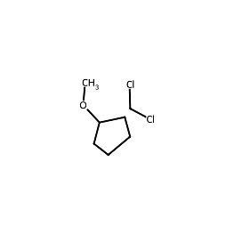 COC1CCCC1.ClCCl